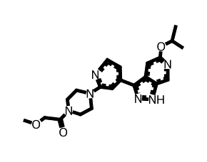 COCC(=O)N1CCN(c2cc(-c3n[nH]c4cnc(OC(C)C)cc34)ccn2)CC1